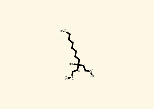 CCCCCCCCCCCCCCCCCC(N)(CCOCC)CCOCC